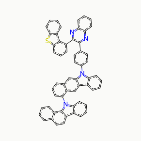 c1cc(-n2c3ccccc3c3ccc4ccccc4c32)c2cc3c4ccccc4n(-c4ccc(-c5nc6ccccc6nc5-c5cccc6sc7ccccc7c56)cc4)c3cc2c1